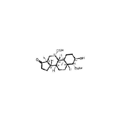 CO[C@H]1[C@H](O)CC[C@]2(C)[C@@H]3[C@@H](CC[C@@H]12)[C@@H]1CCC(=O)[C@@]1(C)C[C@@H]3OC